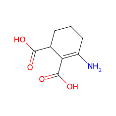 NC1=C(C(=O)O)C(C(=O)O)CCC1